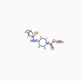 C=CC(=O)NC1CCN(C(=O)OC(C)(C)C)CC1